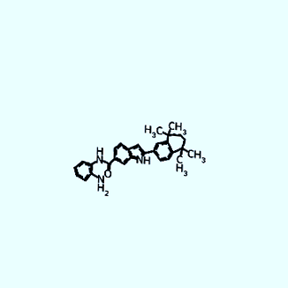 CC1(C)CCC(C)(C)c2cc(-c3cc4ccc(C(=O)Nc5ccccc5N)cc4[nH]3)ccc21